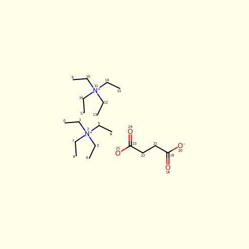 CC[N+](CC)(CC)CC.CC[N+](CC)(CC)CC.O=C([O-])CCC(=O)[O-]